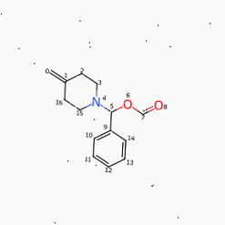 C=C1CCN(C(OC=O)c2ccccc2)CC1